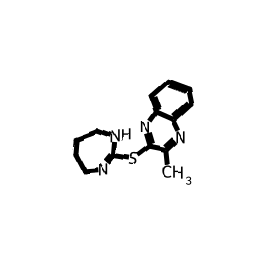 Cc1nc2ccccc2nc1SC1=NCCCCN1